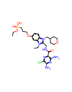 CCOP(=O)(O)CCCOc1ccc2c(c1)n(CC)c(CNC(=O)c1nc(Cl)c(N)nc1N)[n+]2CC1CCOCC1